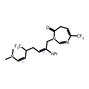 CCC/C(=C/CC(/C=C\N(C)C)C(F)(F)F)CN1C=NC(C(F)(F)F)=CCC1=O